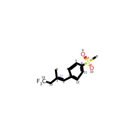 C/C(=C\c1ccc(S(C)(=O)=O)cc1)CC(F)(F)F